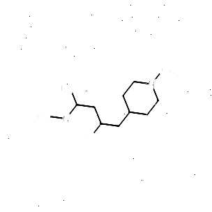 CC(CC1CCN(C(C)(C)C)CC1)CC(C)NC(C)(C)C